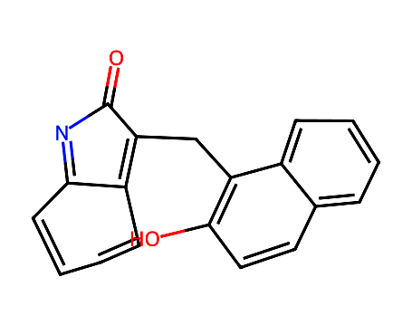 O=C1N=c2ccccc2=C1Cc1c(O)ccc2ccccc12